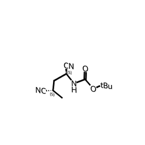 C[C@H](C#N)C[C@@H](C#N)NC(=O)OC(C)(C)C